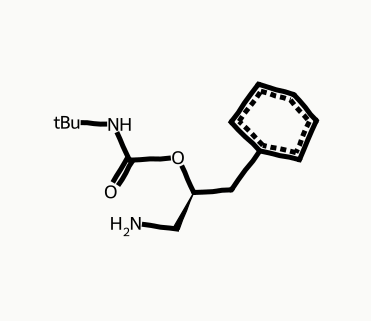 CC(C)(C)NC(=O)O[C@H](CN)Cc1ccccc1